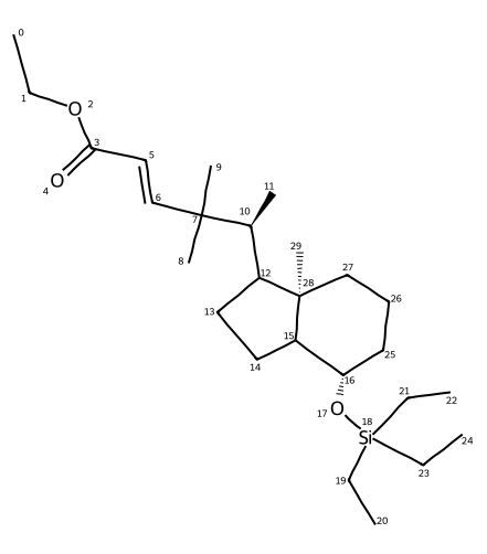 CCOC(=O)/C=C/C(C)(C)[C@@H](C)C1CCC2[C@@H](O[Si](CC)(CC)CC)CCC[C@@]21C